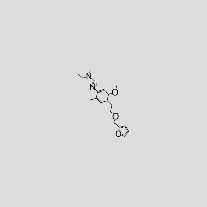 CCN(C)/C=N/C1=CC(OC)C(CCOCc2ccco2)C=C1C